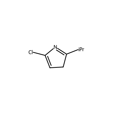 CC(C)C1=NC(Cl)=CC1